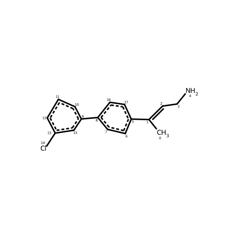 CC(=CCN)c1ccc(-c2cccc(Cl)c2)cc1